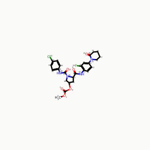 COC(=O)OC1CC(C(=O)Nc2ccc(N3CCCCC3=O)cc2F)N(C(=O)Nc2ccc(Cl)cc2)C1